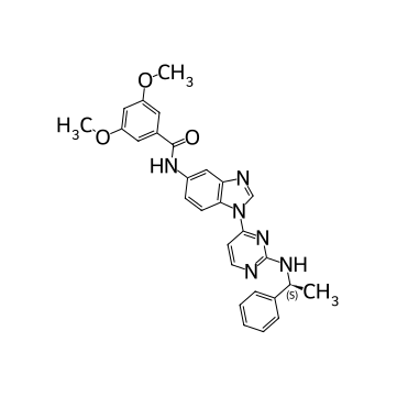 COc1cc(OC)cc(C(=O)Nc2ccc3c(c2)ncn3-c2ccnc(N[C@@H](C)c3ccccc3)n2)c1